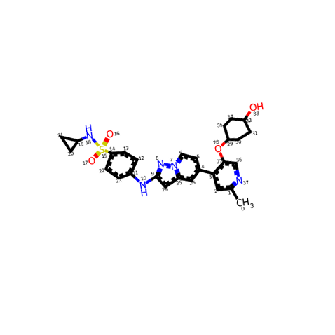 Cc1cc(-c2ccn3nc(Nc4ccc(S(=O)(=O)NC5CC5)cc4)cc3c2)c(OC2CCC(O)CC2)cn1